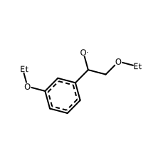 CCOCC([O])c1cccc(OCC)c1